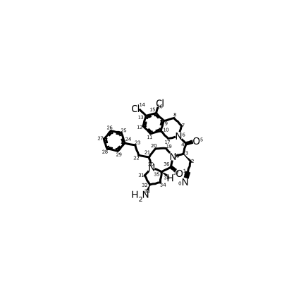 N#CC[C@H](C(=O)N1CCc2c(ccc(Cl)c2Cl)C1)N1CCC(CCc2ccccc2)N2C[C@H](N)C[C@H]2C1=O